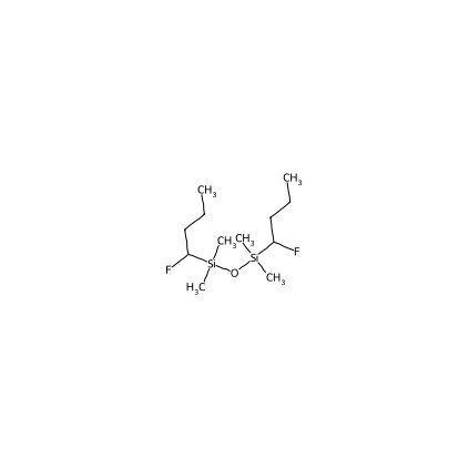 CCCC(F)[Si](C)(C)O[Si](C)(C)C(F)CCC